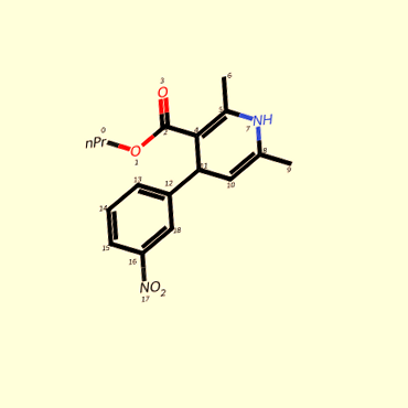 CCCOC(=O)C1=C(C)NC(C)=CC1c1cccc([N+](=O)[O-])c1